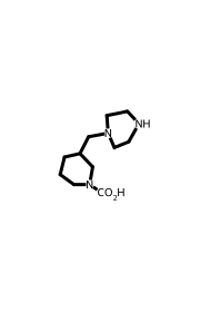 O=C(O)N1CCCC(CN2CCNCC2)C1